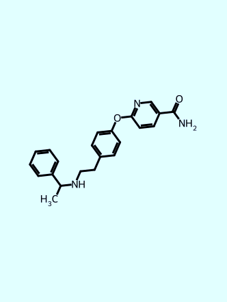 CC(NCCc1ccc(Oc2ccc(C(N)=O)cn2)cc1)c1ccccc1